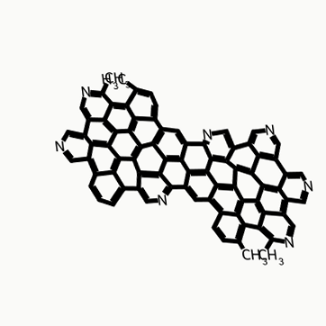 Cc1ncc2c3cncc4c5cccc6c7cnc8c9cc%10c%11ccc(C)c%12c%13c(C)ncc%14c%15cncc%16c%17cncc%18c%19cnc%20c%21cc%22c%23ccc(C)c%24c1c2c1c(c43)c(c56)c2c7c8c(c%21c9c3c%10c4c(c%11%12)c(c%14%13)c(c%16%15)c(c%17%18)c4c%19c%203)c%22c2c1c%23%24